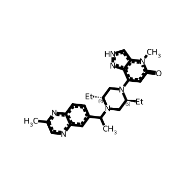 CC[C@H]1CN(C(C)c2ccc3nc(C)cnc3c2)[C@H](CC)CN1c1cc(=O)n(C)c2c[nH]nc12